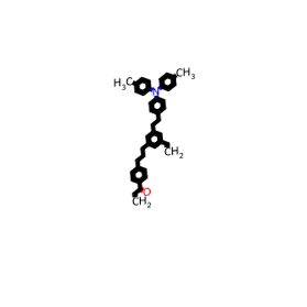 C=CC(=O)c1ccc(CCCc2cc(C=C)cc(CCc3ccc(N(c4ccc(C)cc4)c4ccc(C)cc4)cc3)c2)cc1